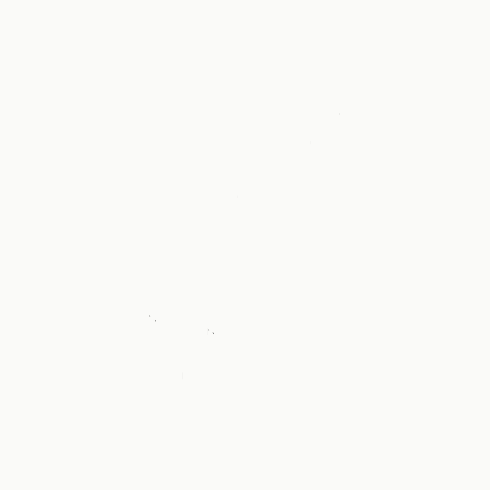 COCCOc1ccc2nc(C)ncc2c1